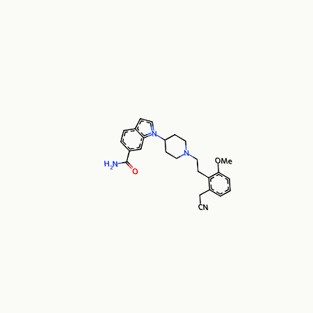 COc1cccc(CC#N)c1CCN1CCC(n2ccc3ccc(C(N)=O)cc32)CC1